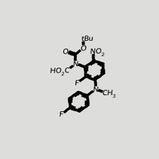 CN(c1ccc(F)cc1)c1ccc([N+](=O)[O-])c(N(C(=O)O)C(=O)OC(C)(C)C)c1F